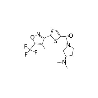 Cc1c(-c2ccc(C(=O)N3CC[C@@H](N(C)C)C3)s2)noc1C(F)(F)F